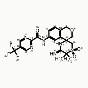 CC1(C)C(=N)N[C@@]2(COCc3ccc(NC(=O)c4ncc(C(F)(F)F)cn4)cc32)CS1(=O)=O